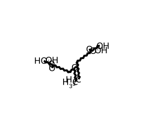 CCCCCCC(C/C=C\CCCCCCCC(=O)OC[C@@H](O)CO)OC(C/C=C\CCCCCCCC(=O)OC[C@@H](O)CO)CCCCCC